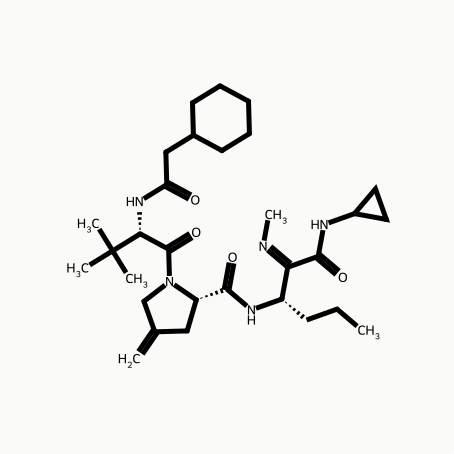 C=C1C[C@@H](C(=O)N[C@@H](CCC)/C(=N/C)C(=O)NC2CC2)N(C(=O)[C@@H](NC(=O)CC2CCCCC2)C(C)(C)C)C1